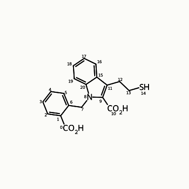 O=C(O)c1ccccc1Cn1c(C(=O)O)c(CCS)c2ccccc21